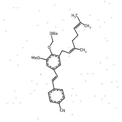 COCOc1c(CC=C(C)CCC=C(C)C)cc(C=Cc2ccc(C#N)cc2)cc1OC